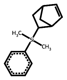 C[Si](C)(c1ccccc1)C1CC2C=CC1C2